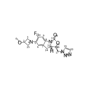 COC1CN(c2cc3c(cc2F)N2C(=O)O[C@@H](Cn4ccnn4)[C@@H]2C3)C1